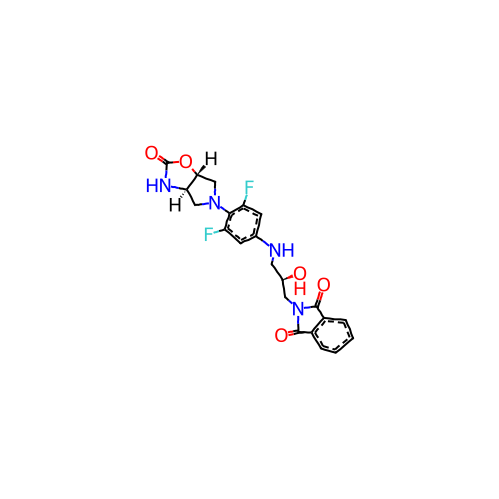 O=C1N[C@@H]2CN(c3c(F)cc(NC[C@@H](O)CN4C(=O)c5ccccc5C4=O)cc3F)C[C@H]2O1